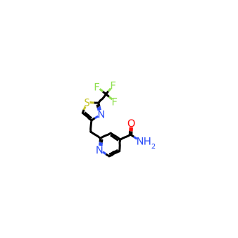 NC(=O)c1ccnc(Cc2csc(C(F)(F)F)n2)c1